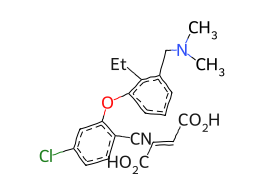 CCc1c(CN(C)C)cccc1Oc1cc(Cl)ccc1C#N.O=C(O)C=CC(=O)O